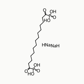 O=C(CCCCCCCCCCCCCC(=O)P(=O)(O)O)P(=O)(O)O.[NaH].[NaH]